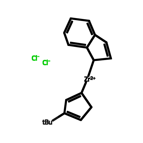 CC(C)(C)C1=CC[C]([Zr+2][CH]2C=Cc3ccccc32)=C1.[Cl-].[Cl-]